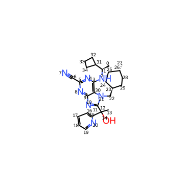 C[C@@H](Nc1nc(C#N)nc2nc(C(C)(O)c3ccccn3)n(C[C@H]3CC[C@H](C)CC3)c12)C1CCC1